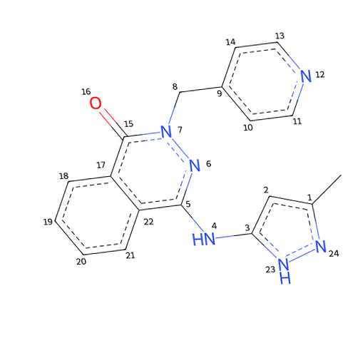 Cc1cc(Nc2nn(Cc3ccncc3)c(=O)c3ccccc23)[nH]n1